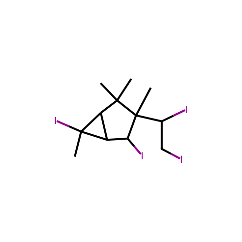 CC1(I)C2C1C(C)(C)C(C)(C(I)CI)C2I